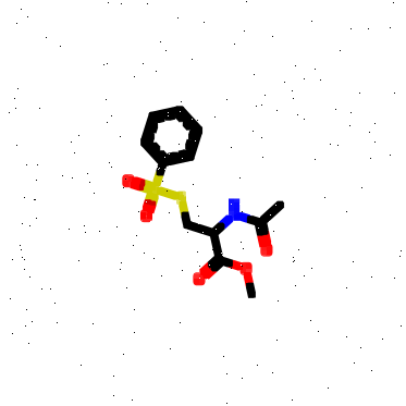 COC(=O)C(CSS(=O)(=O)c1ccccc1)NC(C)=O